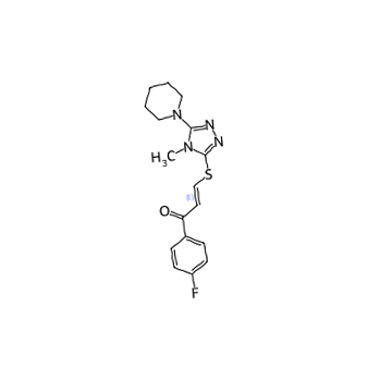 Cn1c(S/C=C/C(=O)c2ccc(F)cc2)nnc1N1CCCCC1